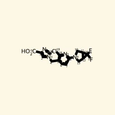 O=C(O)c1cn(Cc2ccc(N3CC4C(C3)C4(F)F)nc2Cl)nn1